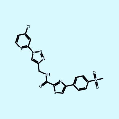 CS(=O)(=O)c1ccc(-c2csc(C(=O)NCc3cn(-c4cc(Cl)ccn4)nn3)n2)cc1